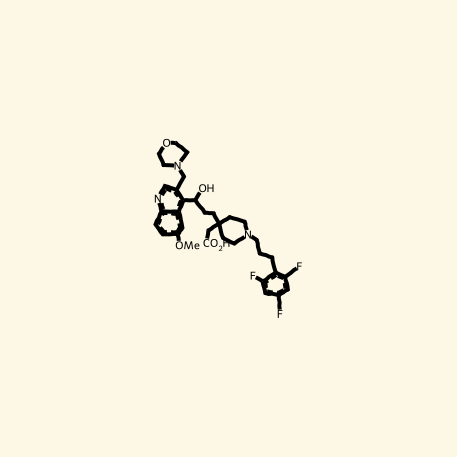 COc1ccc2ncc(CN3CCOCC3)c(C(O)CCC3(CC(=O)O)CCN(CCCc4c(F)cc(F)cc4F)CC3)c2c1